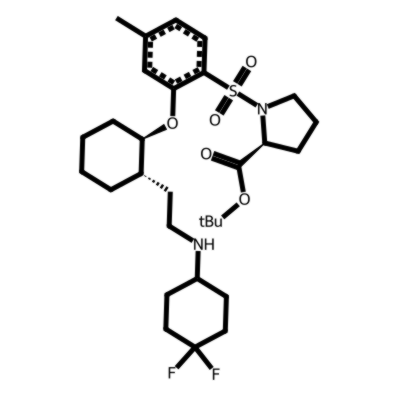 Cc1ccc(S(=O)(=O)N2CCC[C@H]2C(=O)OC(C)(C)C)c(O[C@@H]2CCCC[C@H]2CCNC2CCC(F)(F)CC2)c1